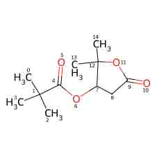 CC(C)(C)C(=O)OC1CC(=O)OC1(C)C